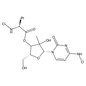 CC(C)[C@H](NCl)C(=O)OC1[C@@H](CO)O[C@@H](n2ccc(NCl)nc2=O)C1(C)O